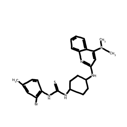 Cc1ccc(NC(=S)NC2CCC(Nc3cc(N(C)C)c4ccccc4n3)CC2)c(Br)c1